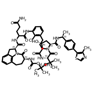 Cc1ncsc1-c1ccc([C@H](C)NC(=O)[C@@H]2C[C@@H](O)CN2C(=O)[C@@H](NC(=O)CCCc2cccc(NC(=O)C(CCC(N)=O)NC(=O)[C@@H]3Cc4cccc5c4N3C(=O)[C@@H](NC(=O)OC(C)(C)C)CC5)c2Cl)C(C)(C)C)cc1